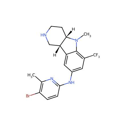 Cc1nc(Nc2cc3c(c(C(F)(F)F)c2)N(C)[C@H]2CCNC[C@@H]32)ccc1Br